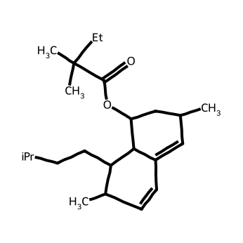 CCC(C)(C)C(=O)OC1CC(C)C=C2C=CC(C)C(CCC(C)C)C21